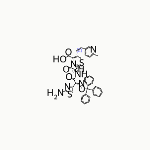 Cc1ccc(/C=C\C2=C(C(=O)O)N3C(=O)[C@@H](NC(=O)C(=NOC(c4ccccc4)(c4ccccc4)c4ccccc4)c4csc(N)n4)[C@@H]3SC2)cn1